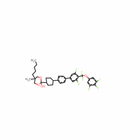 CCCCCC1(C)COC(O)(C2CCC(c3ccc(-c4cc(F)c(C(F)(F)Oc5cc(F)c(F)c(F)c5)c(F)c4)cc3)CC2)OC1